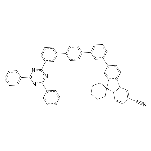 N#CC1=CC2c3ccc(-c4cccc(-c5ccc(-c6cccc(-c7nc(-c8ccccc8)nc(-c8ccccc8)n7)c6)cc5)c4)cc3C3(CCCCC3)C2C=C1